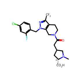 CN1CC(CC(=O)N2CCc3c(C(F)(F)F)nn(Cc4ccc(Cl)cc4F)c3C2)C[C@H]1C(=O)O